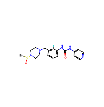 CC[S+]([O-])N1CCN(Cc2cccc(NC(=O)Nc3ccncc3)c2F)CC1